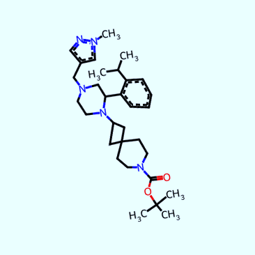 CC(C)c1ccccc1C1CN(Cc2cnn(C)c2)CCN1C1CC2(CCN(C(=O)OC(C)(C)C)CC2)C1